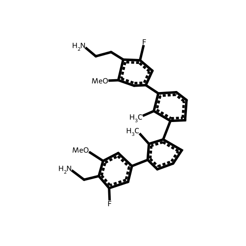 COc1cc(-c2cccc(-c3cccc(-c4cc(F)c(CCN)c(OC)c4)c3C)c2C)cc(F)c1CN